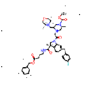 CC1CN(CC(=O)N2C[C@@](C)(C(=O)NCCCC(=O)OCc3ccccc3)c3ccc(Cc4ccc(F)cc4)cc32)C(CN2CCOC[C@H]2C)CN1C(=O)OC(C)(C)C